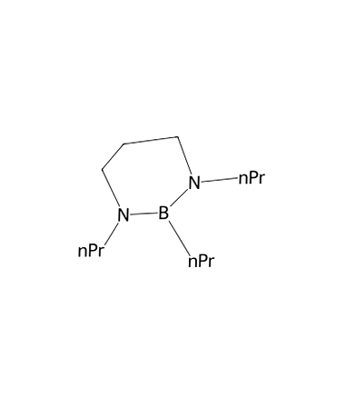 CCCB1N(CCC)CCCN1CCC